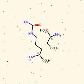 NC(=O)NCCC[C@H](N)C(=O)O.N[C@@H](CC(=O)O)C(=O)O